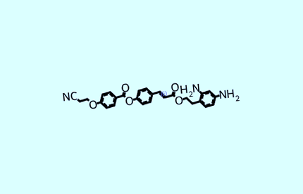 N#CCCOc1ccc(C(=O)Oc2ccc(/C=C/C(=O)OCCc3ccc(N)cc3N)cc2)cc1